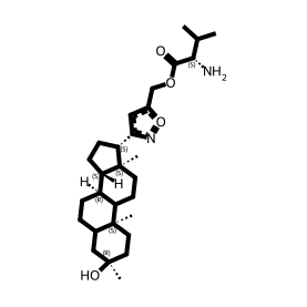 CC(C)[C@H](N)C(=O)OCc1cc([C@H]2CC[C@H]3[C@@H]4CCC5C[C@](C)(O)CC[C@]5(C)C4CC[C@]23C)no1